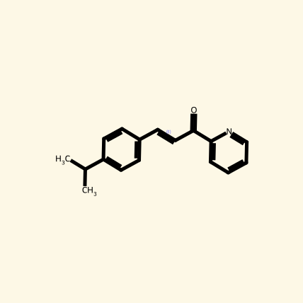 CC(C)c1ccc(/C=C/C(=O)c2ccccn2)cc1